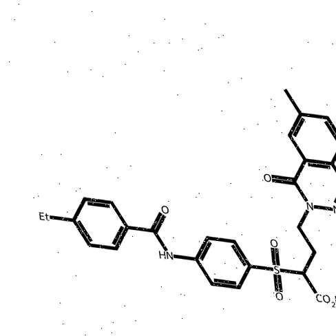 CCc1ccc(C(=O)Nc2ccc(S(=O)(=O)C(CCn3nnc4ccc(C)cc4c3=O)C(=O)O)cc2)cc1